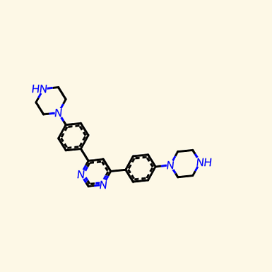 c1nc(-c2ccc(N3CCNCC3)cc2)cc(-c2ccc(N3CCNCC3)cc2)n1